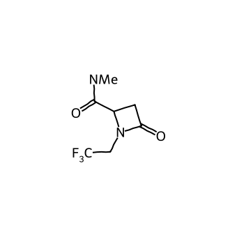 CNC(=O)C1CC(=O)N1CC(F)(F)F